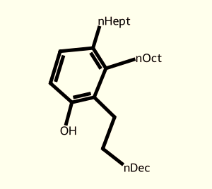 CCCCCCCCCCCCc1c(O)ccc(CCCCCCC)c1CCCCCCCC